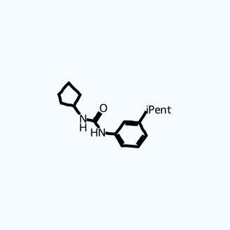 CCCC(C)c1cccc(NC(=O)NC2CCCC2)c1